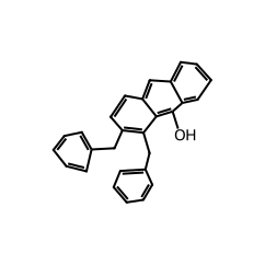 Oc1c2ccccc2cc2ccc(Cc3ccccc3)c(Cc3ccccc3)c12